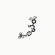 COc1ccc(/C(C#N)=C/c2ccc(N3CCN(CCO[N+](=O)[O-])CC3)s2)cc1OC